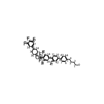 CCCCCc1ccc(-c2ccc(-c3cc(F)c(C(F)(F)OC4CCC(c5cc(F)c(F)c(F)c5)CC4)c(F)c3)c(F)c2)cc1